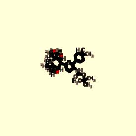 [2H]C([2H])([2H])C1(C([2H])([2H])[2H])NC(C([2H])([2H])[2H])(C([2H])([2H])[2H])C([2H])([2H])C(c2ccc(NC(=O)OC(C)(C)C)c(C3=CCC(C)(C)CC3)n2)C1([2H])[2H]